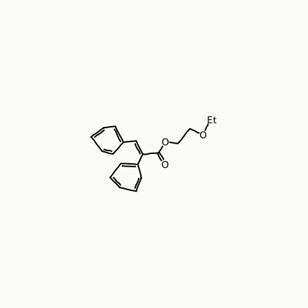 CCOCCOC(=O)C(=Cc1ccccc1)c1ccccc1